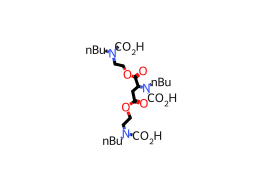 CCCCN(CCOC(=O)CC(C(=O)OCCN(CCCC)C(=O)O)N(CCCC)C(=O)O)C(=O)O